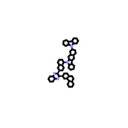 c1cc(-n2c3ccccc3c3cc4ccc(-n5c6ccccc6c6ccccc65)cc4cc32)c2ccc(-c3nc4ccccc4nc3-c3ccc4ccc5ccccc5c4c3)cc2c1